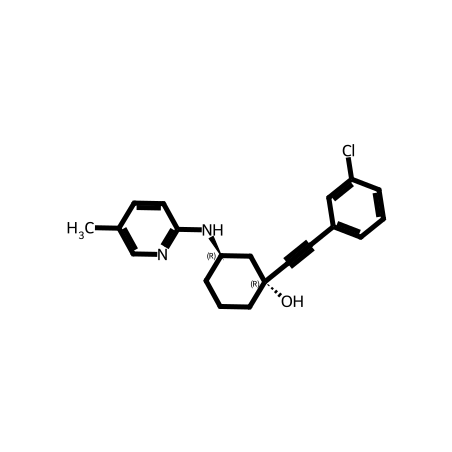 Cc1ccc(N[C@@H]2CCC[C@](O)(C#Cc3cccc(Cl)c3)C2)nc1